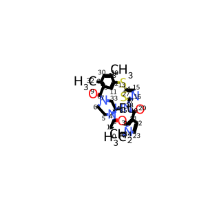 C=CC(=O)N1CCN(C(=O)c2cc(Sc3cnc(NC(=O)c4ccn(C)c4)s3)c(C)cc2C)CC1CC